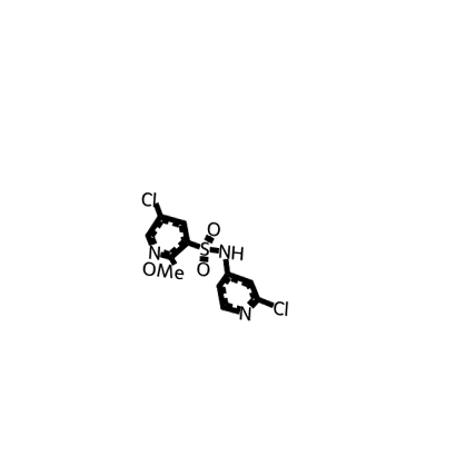 COc1ncc(Cl)cc1S(=O)(=O)Nc1ccnc(Cl)c1